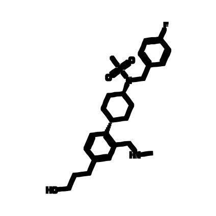 CNCc1cc(CCCO)ccc1[C@H]1CC[C@H](N(Cc2ccc(F)cc2)S(C)(=O)=O)CC1